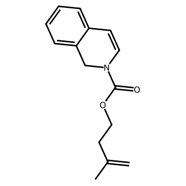 C=C(C)CCOC(=O)N1C=Cc2ccccc2C1